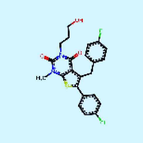 Cn1c(=O)n(CCCO)c(=O)c2c(Cc3ccc(Cl)cc3)c(-c3ccc(Cl)cc3)sc21